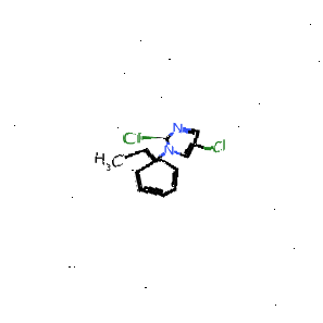 CCC1(N2C=C(Cl)C=N[C@@H]2Cl)C=CC=CC1